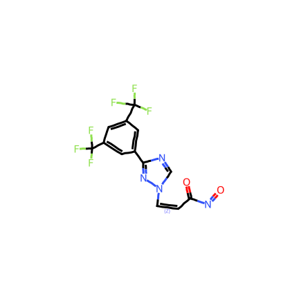 O=NC(=O)/C=C\n1cnc(-c2cc(C(F)(F)F)cc(C(F)(F)F)c2)n1